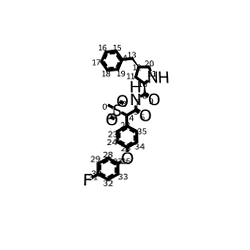 CS(=O)(=O)C(C(=O)NC(=O)[C@H]1C[C@@H](Cc2ccccc2)CN1)c1ccc(Oc2ccc(F)cc2)cc1